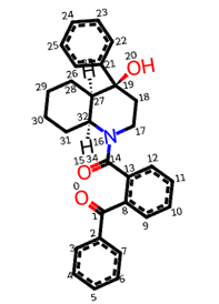 O=C(c1ccccc1)c1ccccc1C(=O)N1CC[C@@](O)(c2ccccc2)[C@@H]2CCCC[C@@H]21